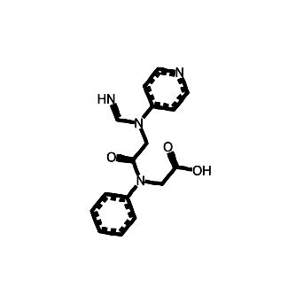 N=CN(CC(=O)N(CC(=O)O)c1ccccc1)c1ccncc1